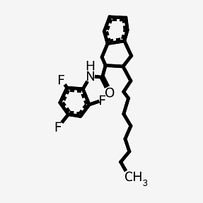 CCCCCCCCCC1Cc2ccccc2CC1C(=O)Nc1c(F)cc(F)cc1F